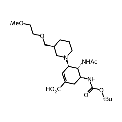 COCCOC[C@H]1CCCN([C@@H]2C=C(C(=O)O)C[C@H](NC(=O)OC(C)(C)C)[C@H]2NC(C)=O)C1